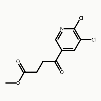 COC(=O)CCC(=O)c1cnc(Cl)c(Cl)c1